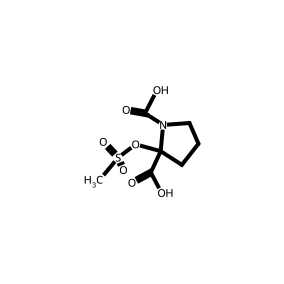 CS(=O)(=O)OC1(C(=O)O)CCCN1C(=O)O